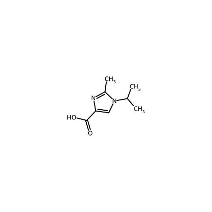 Cc1nc(C(=O)O)cn1C(C)C